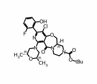 C[C@@H]1CN(c2nc(-c3c(O)cccc3F)c(Cl)c3c2C(=O)N2CCN(C(=O)OC(C)(C)C)C[C@@H]2CO3)C[C@@H](C)O1